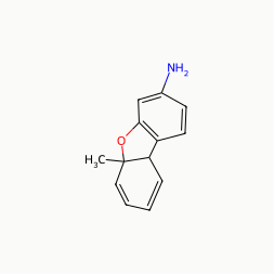 CC12C=CC=CC1c1ccc(N)cc1O2